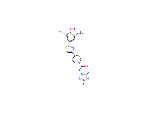 Cc1nc(C)n(CC(=O)N2CCC(c3csc(-c4cc(C(C)(C)C)c(O)c(C(C)(C)C)c4)n3)CC2)n1